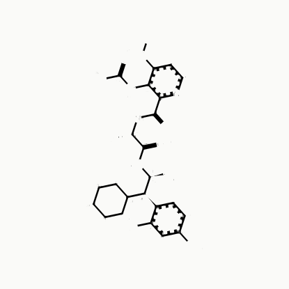 COc1ccnc(C(=O)N[C@@H](C)C(=O)O[C@@H](C)[C@@H](c2ccc(C)cc2C)C2CCCCC2)c1OC(C)=O